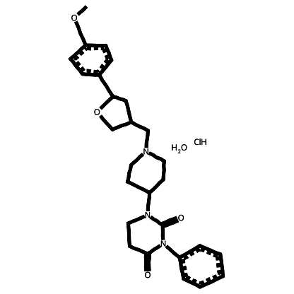 COc1ccc(C2CC(CN3CCC(N4CCC(=O)N(c5ccccc5)C4=O)CC3)CO2)cc1.Cl.O